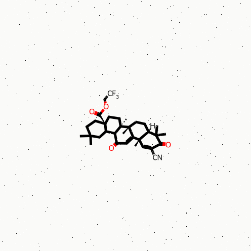 CC1(C)CC[C@]2(C(=O)OCC(F)(F)F)CC[C@]3(C)C(C(=O)C=C4[C@@]5(C)C=C(C#N)C(=O)C(C)(C)[C@@H]5CC[C@]43C)C2C1